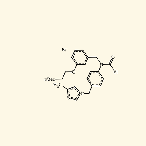 CCCCCCCCCCCCOc1cccc(CN(C(=O)CC)c2ccc(C[n+]3csc(C)c3)cc2)c1.[Br-]